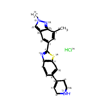 Cc1cc(-c2nc3ccc(C4=CCNCC4)cc3s2)cc2cn(C)nc12.Cl